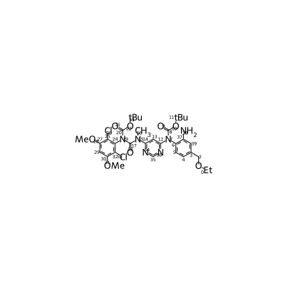 CCOCc1ccc(N(C(=O)OC(C)(C)C)c2cc(N(C)C(=O)N(C(=O)OC(C)(C)C)c3c(Cl)c(OC)cc(OC)c3Cl)ncn2)c(N)c1